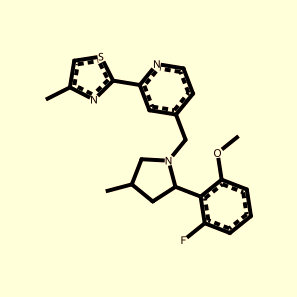 COc1cccc(F)c1C1CC(C)CN1Cc1ccnc(-c2nc(C)cs2)c1